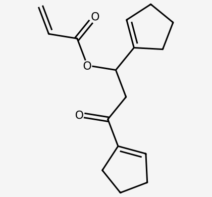 C=CC(=O)OC(CC(=O)C1=CCCC1)C1=CCCC1